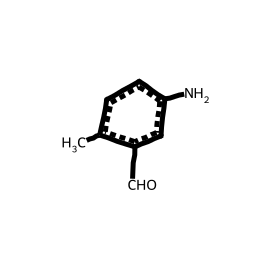 Cc1ccc(N)cc1C=O